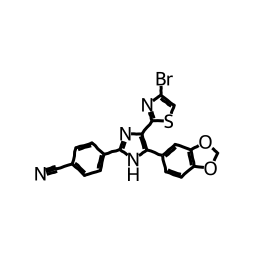 N#Cc1ccc(-c2nc(-c3nc(Br)cs3)c(-c3ccc4c(c3)OCO4)[nH]2)cc1